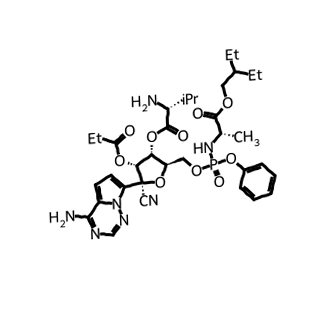 CCC(=O)O[C@@H]1[C@H](OC(=O)[C@H](N)C(C)C)[C@@H](COP(=O)(N[C@@H](C)C(=O)OCC(CC)CC)Oc2ccccc2)O[C@@]1(C#N)c1ccc2c(N)ncnn12